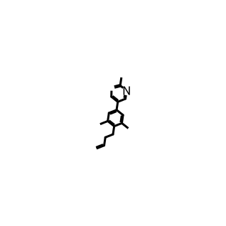 C=CCCc1c(C)cc(C(/C=N\C(=C)C)=C/C)cc1C